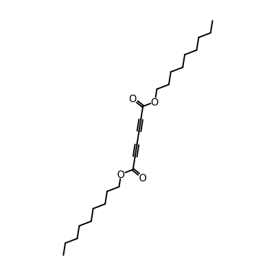 CCCCCCCCCOC(=O)C#CC#CC(=O)OCCCCCCCCC